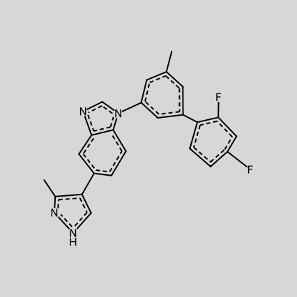 Cc1cc(-c2ccc(F)cc2F)cc(-n2cnc3cc(-c4c[nH]nc4C)ccc32)c1